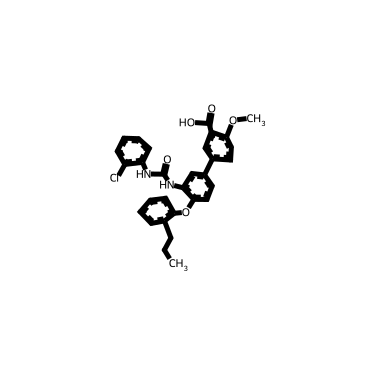 CCCc1ccccc1Oc1ccc(-c2ccc(OC)c(C(=O)O)c2)cc1NC(=O)Nc1ccccc1Cl